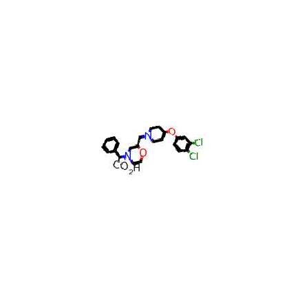 O=C(O)[C@@H](c1ccccc1)N1CCO[C@H](CN2CCC(Oc3ccc(Cl)c(Cl)c3)CC2)C1